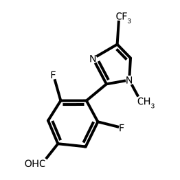 Cn1cc(C(F)(F)F)nc1-c1c(F)cc(C=O)cc1F